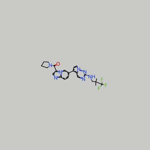 CC(C)(CNc1ncc2c(-c3ccc4ncc(C(=O)N5CCCC5)n4c3)ccn2n1)C(F)(F)F